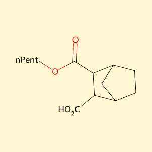 CCCCCOC(=O)C1C2CCC(C2)C1C(=O)O